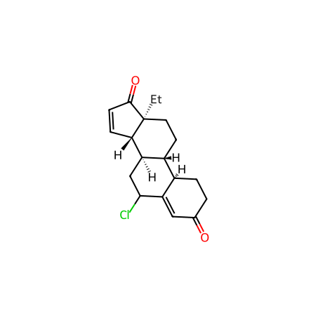 CC[C@]12CC[C@H]3[C@@H](CC(Cl)C4=CC(=O)CC[C@@H]43)[C@@H]1C=CC2=O